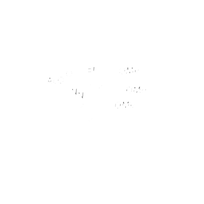 CCc1c(OOC(C)=O)nn(-c2ccc(C)cc2)c1-c1cc(OC)c(OC)c(OC)c1